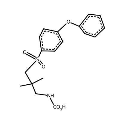 CC(C)(CNC(=O)O)CS(=O)(=O)c1ccc(Oc2ccccc2)cc1